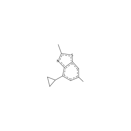 Cc1cc(C2CC2)c2nc(C)sc2c1